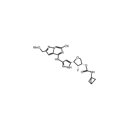 COCc1cc2c(Nc3cc([C@@H]4OC[C@H](OC(=O)NC56CC(C5)C6)[C@@H]4F)[nH]n3)nc(C#N)cn2n1